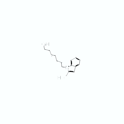 Cc1cc2ccccc2n1CCCCCCCO